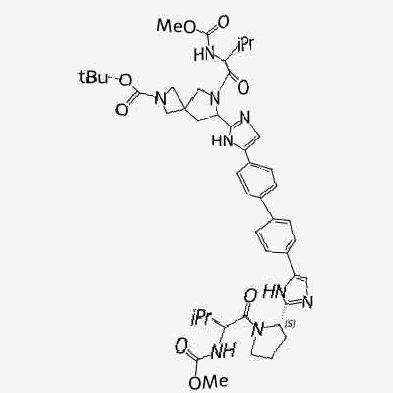 COC(=O)NC(C(=O)N1CC2(CC1c1ncc(-c3ccc(-c4ccc(-c5cnc([C@@H]6CCCN6C(=O)C(NC(=O)OC)C(C)C)[nH]5)cc4)cc3)[nH]1)CN(C(=O)OC(C)(C)C)C2)C(C)C